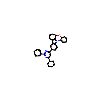 c1ccc(-c2cc(-c3ccc4c(c3)c3cccc5c3n4-c3ccccc3O5)nc(-c3ccccc3)n2)cc1